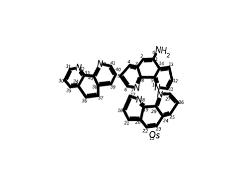 Nc1cc2cccnc2c2ncccc12.[Os].c1cnc2c(c1)ccc1cccnc12.c1cnc2c(c1)ccc1cccnc12